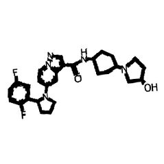 O=C(NC1CCC(N2CCC(O)C2)CC1)c1cnn2ccc(N3CCCC3c3cc(F)ccc3F)cc12